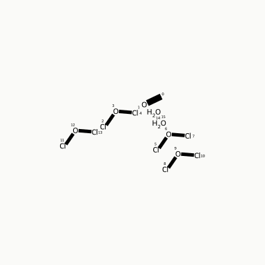 C=O.ClOCl.ClOCl.ClOCl.ClOCl.O.O